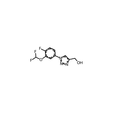 OCc1cn(-c2ccc(F)c(OC(F)F)c2)nn1